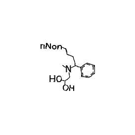 CCCCCCCCCCCCC(c1ccccc1)N(C)CC(O)O